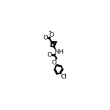 COC(=O)C12CC(NC(=O)COc3ccc(Cl)cc3)(C1)C2